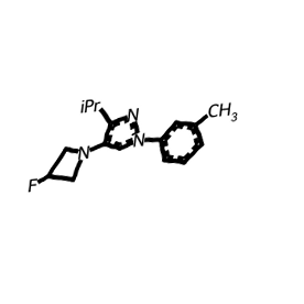 Cc1cccc(-n2cc(N3CC(F)C3)c(C(C)C)n2)c1